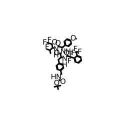 COc1ccc(C(NC(=O)C(Cc2ccc(CNC(=O)OC(C)(C)C)cc2)NC(=O)C(F)(F)c2ccccc2C(F)(F)F)C(=O)NC(C(=O)C(F)(F)F)C(C)C)cc1